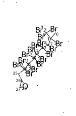 CC(Br)(C(Br)(Br)Br)C(Br)(Br)C(Br)(Br)C(Br)(Br)C(Br)(Br)C(Br)(Br)C(Br)(Br)CC1CO1